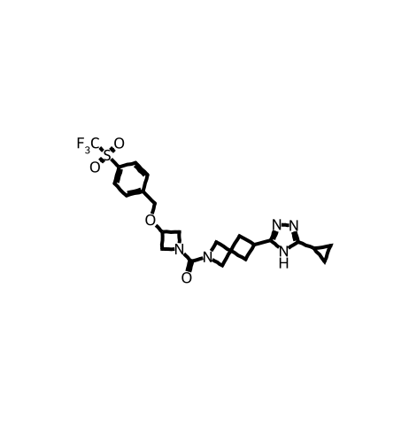 O=C(N1CC(OCc2ccc(S(=O)(=O)C(F)(F)F)cc2)C1)N1CC2(CC(c3nnc(C4CC4)[nH]3)C2)C1